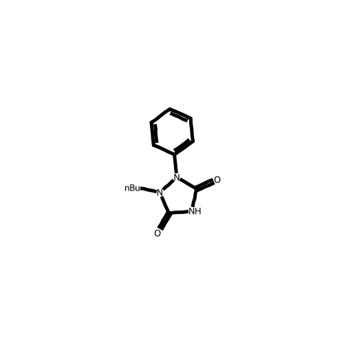 CCCCn1c(=O)[nH]c(=O)n1-c1ccccc1